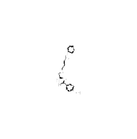 Oc1ccc(-c2nnc(CSCCCCOc3ccccc3)o2)cc1